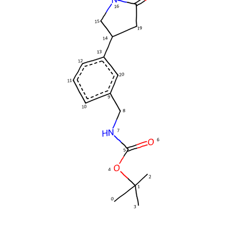 CC(C)(C)OC(=O)NCc1cccc(C2CNC(=O)C2)c1